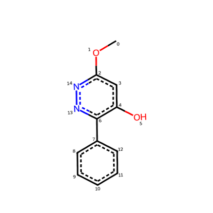 COc1cc(O)c(-c2ccccc2)nn1